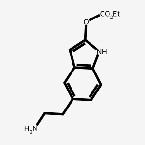 CCOC(=O)Oc1cc2cc(CCN)ccc2[nH]1